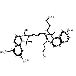 CCCCN1/C(=C/C=C/C2=[N+](CCCS(=O)(=O)O)c3ccc4ccc(S(=O)(=O)O)cc4c3C2(C)CCCS(=O)(=O)O)C(C)(C)c2c1ccc1c(S(=O)(=O)O)cc(S(=O)(=O)O)cc21